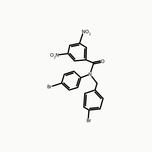 O=C(c1cc([N+](=O)[O-])cc([N+](=O)[O-])c1)N(Cc1ccc(Br)cc1)c1ccc(Br)cc1